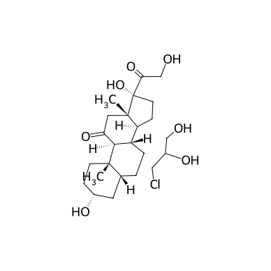 C[C@]12CC[C@@H](O)C[C@H]1CC[C@@H]1[C@@H]2C(=O)C[C@@]2(C)[C@H]1CC[C@]2(O)C(=O)CO.OCC(O)CCl